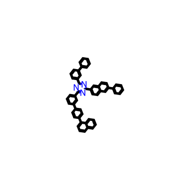 c1ccc(-c2cccc(-c3nc(-c4cccc(-c5ccc(-c6cccc7ccccc67)cc5)c4)nc(-c4ccc5cc(-c6ccccc6)ccc5c4)n3)c2)cc1